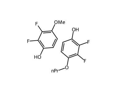 CCCOc1ccc(O)c(F)c1F.COc1ccc(O)c(F)c1F